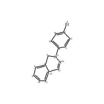 CCc1ccc(N2Cc3ccccc3C=N2)cc1